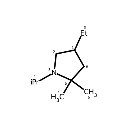 CCC1CN(C(C)C)C(C)(C)C1